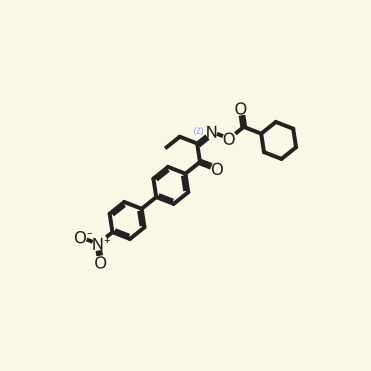 CC/C(=N/OC(=O)C1CCCCC1)C(=O)c1ccc(-c2ccc([N+](=O)[O-])cc2)cc1